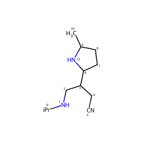 CC(C)NCC(CC#N)C1CCC(C)N1